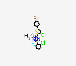 Cn1nc(-c2c(F)cccc2Cl)nc1-c1sc(-c2ccc(Br)cc2)cc1Cl